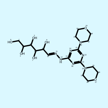 OCC(O)C(O)C(O)C(O)/C=N/Nc1nc(N2CCOCC2)nc(N2CCOCC2)n1